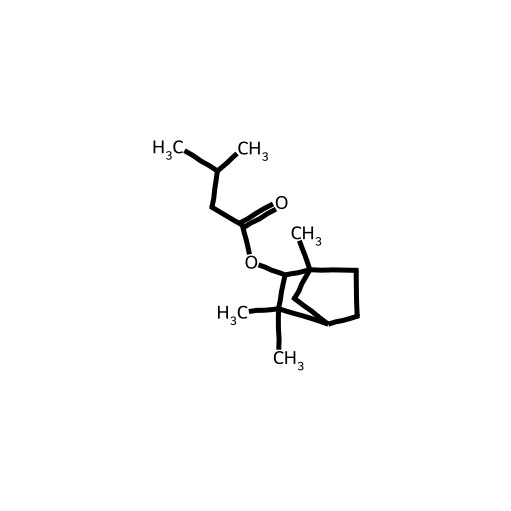 CC(C)CC(=O)OC1C2(C)CCC(C2)C1(C)C